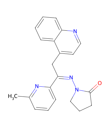 Cc1cccc(C(Cc2ccnc3ccccc23)=NN2CCCC2=O)n1